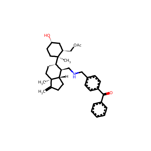 C=C1CC[C@H]2[C@H](CNCc3ccc(C(=O)c4ccccc4)cc3)[C@@H]([C@@]3(C)CC[C@H](O)C[C@@H]3COC(C)=O)CC[C@]12C